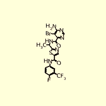 CC(NC(=O)c1ncnc(N)c1Br)c1ncc(C(=O)Nc2ccc(F)c(C(F)(F)F)c2)s1